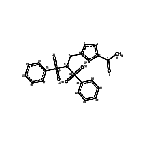 CC(=O)c1ccc(CN(S(=O)(=O)c2ccccc2)S(=O)(=O)c2ccccc2)s1